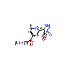 COC(=O)c1cc(C)nc(-c2cnn(C)c2Br)c1